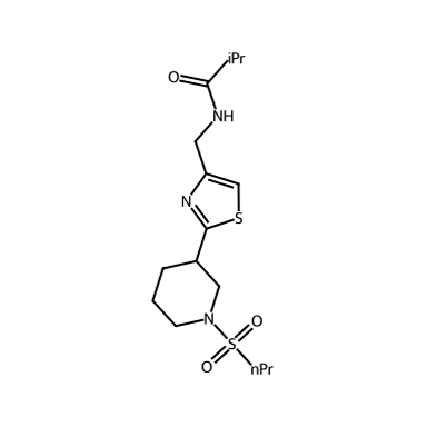 CCCS(=O)(=O)N1CCCC(c2nc(CNC(=O)C(C)C)cs2)C1